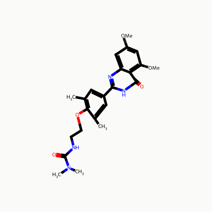 COc1cc(OC)c2c(=O)[nH]c(-c3cc(C)c(OCCNC(=O)N(C)C)c(C)c3)nc2c1